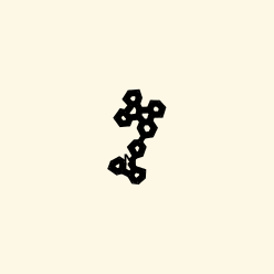 c1ccc2c(c1)c1ccccc1c1c3cc(-c4ccc(-n5c6ccccc6c6ccccc65)cc4)ccc3c3ccccc3c21